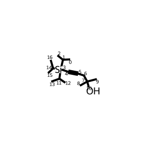 CC(C)[Si](C#CCC(C)(C)O)(C(C)C)C(C)C